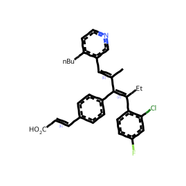 CCCCc1ccncc1/C=C(C)/C(=C(\CC)c1ccc(F)cc1Cl)c1ccc(/C=C/C(=O)O)cc1